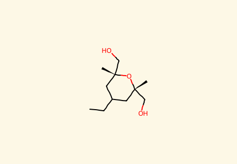 CCC1C[C@](C)(CO)O[C@](C)(CO)C1